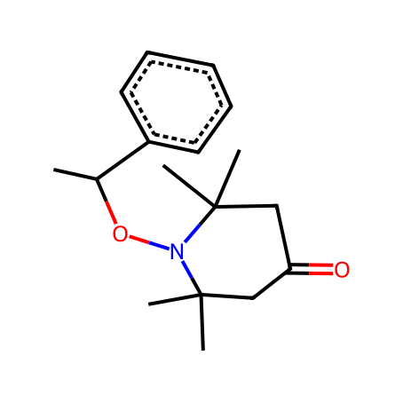 CC(ON1C(C)(C)CC(=O)CC1(C)C)c1ccccc1